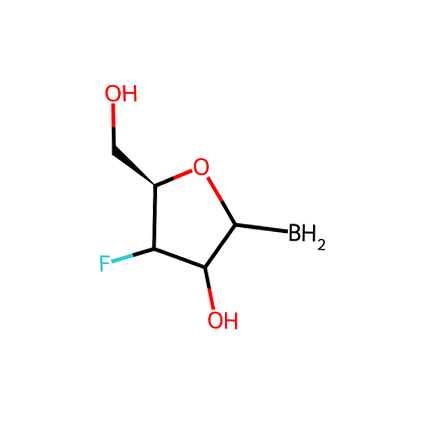 BC1O[C@H](CO)C(F)C1O